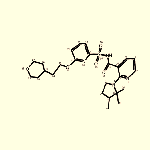 CC1CCN(c2ncccc2C(=O)NS(=O)(=O)c2cccc(OCCC3CCOCC3)n2)C1(C)C